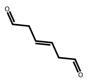 O=CCC=CCC=O